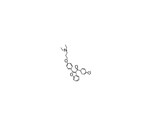 CCN(CC)CCCOc1ccc(-c2oc3ccccc3c2C(=O)c2ccc(OC)cc2)cc1